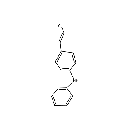 Cl/C=C/c1ccc(Nc2ccccc2)cc1